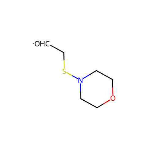 O=[C]CSN1CCOCC1